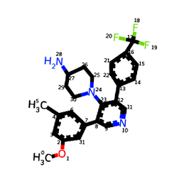 COc1cc(C)cc(-c2cncc(-c3ccc(C(F)(F)F)cc3)c2N2CCC(N)CC2)c1